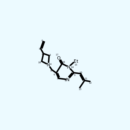 C=CC1CN(Cc2cnc(C=C(C)C)n(CC)c2=O)C1